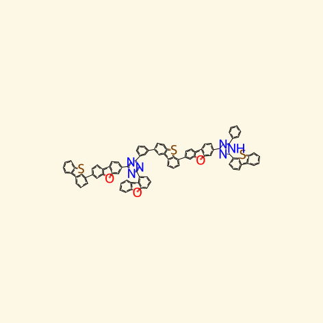 c1ccc(C2=NC(c3ccc4c(c3)oc3cc(-c5cccc6c5sc5ccc(-c7cccc(-c8nc(-c9ccc%10c(c9)oc9cc(-c%11cccc%12c%11sc%11ccccc%11%12)ccc9%10)nc(-c9cccc%10oc%11ccccc%11c9%10)n8)c7)cc56)ccc34)=NC(c3cccc4c3sc3ccccc34)N2)cc1